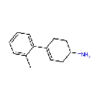 Cc1ccccc1C1=CCC(N)CC1